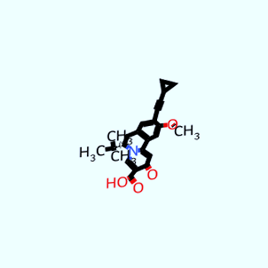 COc1cc2c(cc1C#CC1CC1)C[C@@H](C(C)(C)C)n1cc(C(=O)O)c(=O)cc1-2